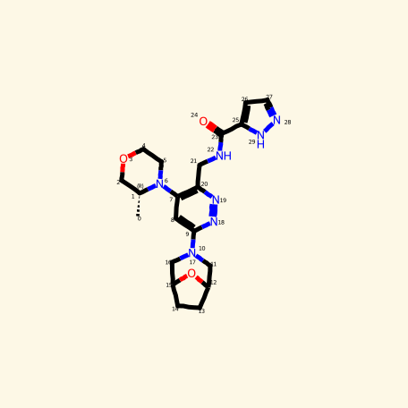 C[C@@H]1COCCN1c1cc(N2CC3CCC(C2)O3)nnc1CNC(=O)c1ccn[nH]1